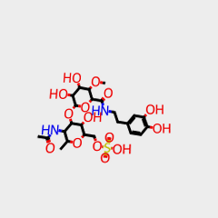 COC1C(C(=O)NCCc2ccc(O)c(O)c2)OC(OC2C(O)C(COS(=O)(=O)O)OC(C)C2NC(C)=O)C(O)C1O